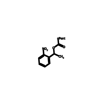 CCCCCC(=O)OC(C)c1ccccc1[N+](=O)[O-]